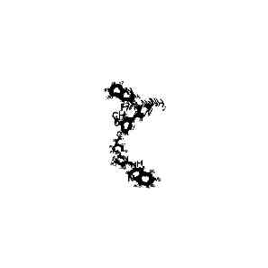 COc1cc(-c2cnc(N)nc2Nc2cnc3ccccc3c2)ccc1OCCC1CCN(c2nccc(Nc3cnc4ccccc4c3)n2)CC1